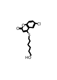 O=c1cc(SCCCCCCO)c2cc(Cl)ccc2o1